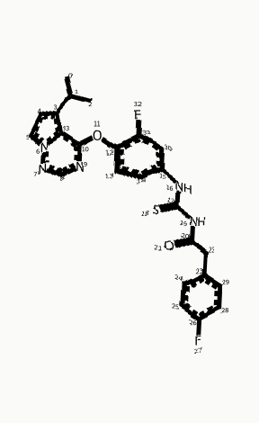 CC(C)c1ccn2ncnc(Oc3ccc(NC(=S)NC(=O)Cc4ccc(F)cc4)cc3F)c12